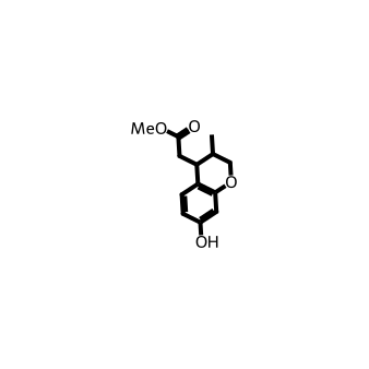 COC(=O)CC1c2ccc(O)cc2OCC1C